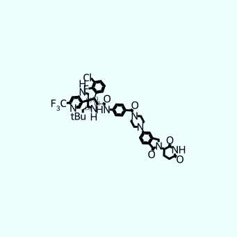 CC(C)(C)C[C@@H]1N[C@@H](C(=O)Nc2ccc(C(=O)N3CCN(c4ccc5c(c4)CN(C4CCC(=O)NC4=O)C5=O)CC3)cc2)[C@H](c2cccc(Cl)c2F)[C@]12CNc1cc(C(F)(F)F)ncc12